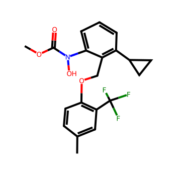 COC(=O)N(O)c1cccc(C2CC2)c1COc1ccc(C)cc1C(F)(F)F